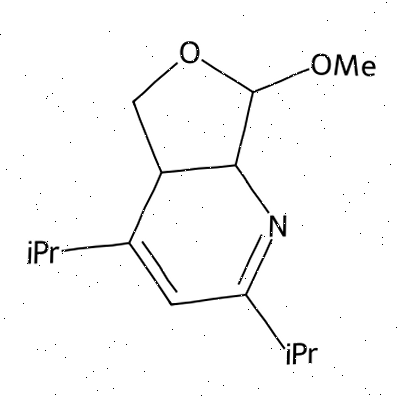 COC1OCC2C(C(C)C)=CC(C(C)C)=NC12